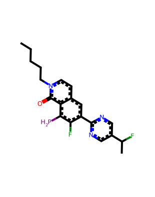 CCCCCn1ccc2cc(-c3ncc(C(C)F)cn3)c(F)c(P)c2c1=O